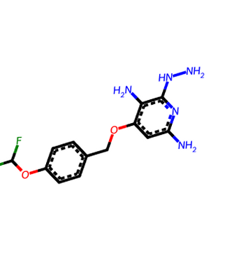 NNc1nc(N)cc(OCc2ccc(OC(F)F)cc2)c1N